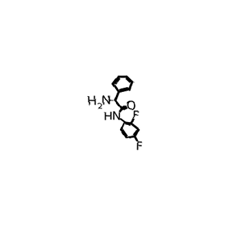 N[C@@H](C(=O)Nc1ccc(F)cc1F)c1ccccc1